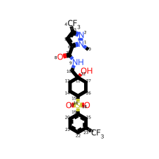 Cn1nc(C(F)(F)F)cc1C(=O)NCC1(O)CCC(S(=O)(=O)c2cccc(C(F)(F)F)c2)CC1